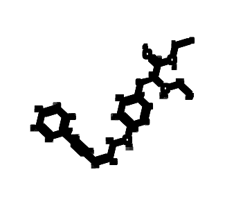 CCOC(=O)[C@H](Cc1ccc(OC/C=C\C#Cc2ccccc2)cc1)OCC